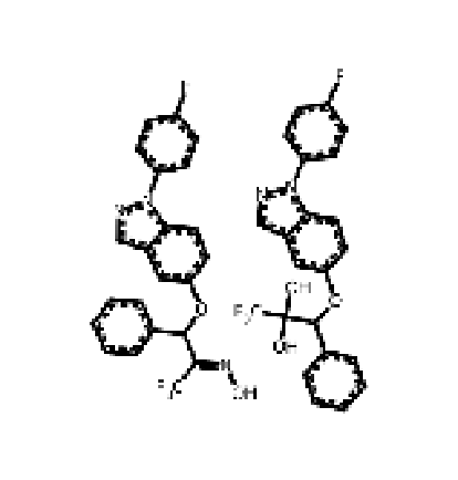 OC(O)(C(Oc1ccc2c(cnn2-c2ccc(F)cc2)c1)c1ccccc1)C(F)(F)F.ON=C(C(Oc1ccc2c(cnn2-c2ccc(F)cc2)c1)c1ccccc1)C(F)(F)F